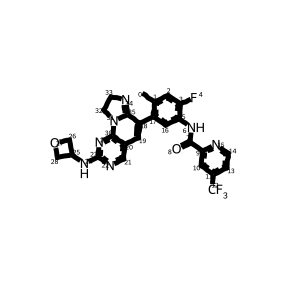 Cc1cc(F)c(NC(=O)c2cc(C(F)(F)F)ccn2)cc1C1=Cc2cnc(NC3COC3)nc2N2CCN=C12